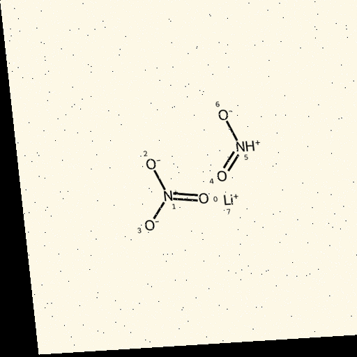 O=[N+]([O-])[O-].O=[NH+][O-].[Li+]